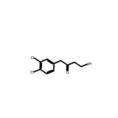 CC(C)CCC(=O)Cc1ccc(Cl)c(Cl)c1